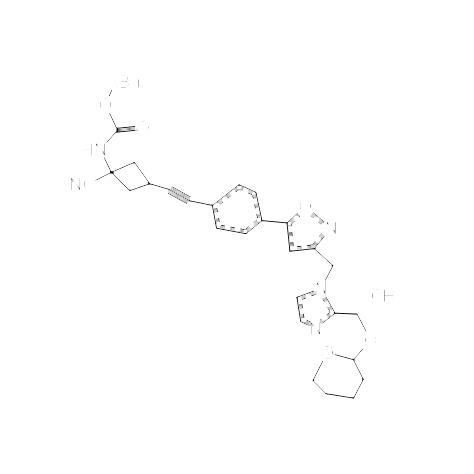 C[C@H](OC1CCCCO1)c1nccn1Cc1cc(-c2ccc(C#CC3CC(C#N)(NC(=O)OC(C)(C)C)C3)cc2)on1